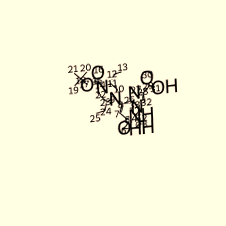 [2H]C([2H])([2H])n1c(=O)cc(N2C[C@@H](CC)N(C(=O)OC(C)(C)C)C[C@@H]2CC)c2nc(C(=O)O)cn21